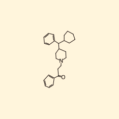 O=C(CCN1CCC(C(c2ccccc2)C2CCCCC2)CC1)c1ccccc1